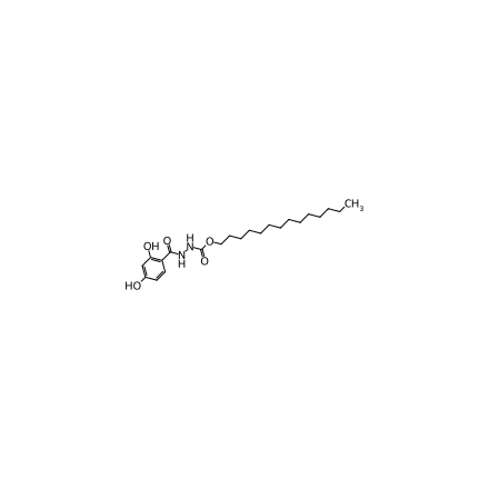 CCCCCCCCCCCCCCOC(=O)NNC(=O)c1ccc(O)cc1O